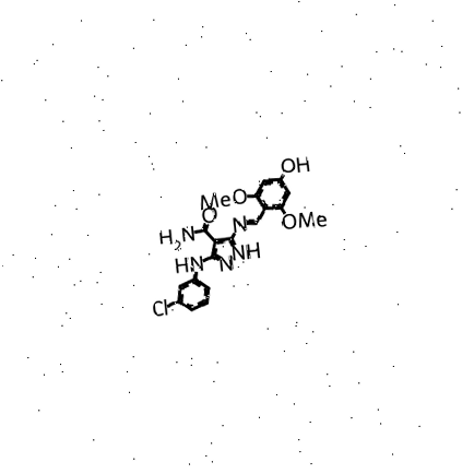 COc1cc(O)cc(OC)c1/C=N/c1[nH]nc(Nc2cccc(Cl)c2)c1C(N)=O